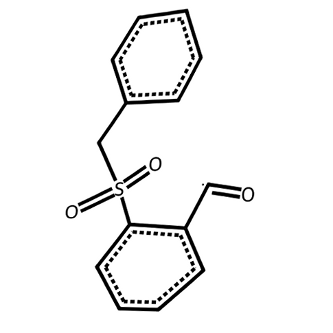 O=[C]c1ccccc1S(=O)(=O)Cc1ccccc1